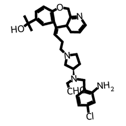 CC(C)(O)c1ccc2c(c1)/C(=C/CCN1CC[C@@H](N(CC=O)Cc3ccc(Cl)cc3N)C1)C1CC=CN=C1CO2